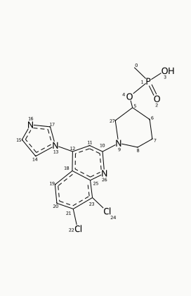 CP(=O)(O)OC1CCCN(c2cc(-n3ccnc3)c3ccc(Cl)c(Cl)c3n2)C1